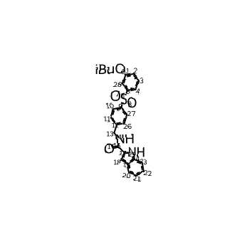 CC(C)COc1cccc(S(=O)(=O)c2ccc(CNC(=O)c3cc4ccccc4[nH]3)cc2)c1